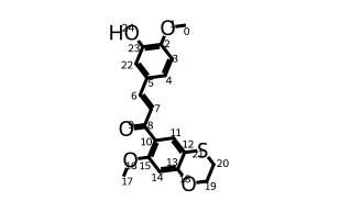 COc1ccc(C=CC(=O)c2cc3c(cc2OC)OCCS3)cc1O